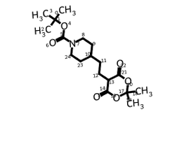 CC(C)(C)OC(=O)N1CCC(CCC2C(=O)OC(C)(C)OC2=O)CC1